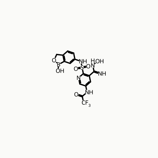 N=C(NO)c1cc(NC(=O)C(F)(F)F)cnc1S(=O)(=O)Nc1ccc2c(c1)B(O)OC2